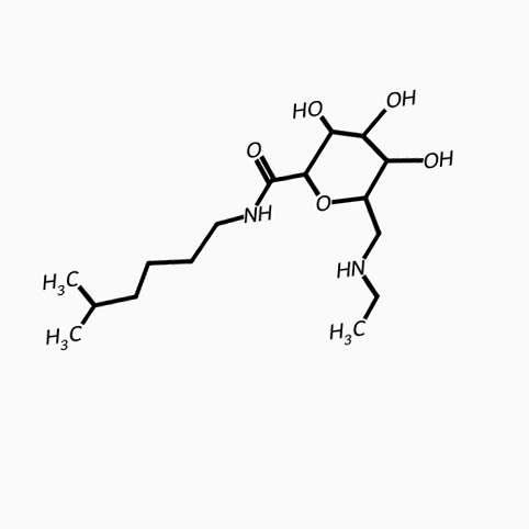 CCNCC1OC(C(=O)NCCCCC(C)C)C(O)C(O)C1O